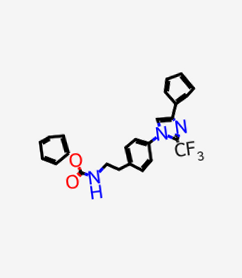 O=C(NCCc1ccc(-n2cc(-c3ccccc3)nc2C(F)(F)F)cc1)Oc1ccccc1